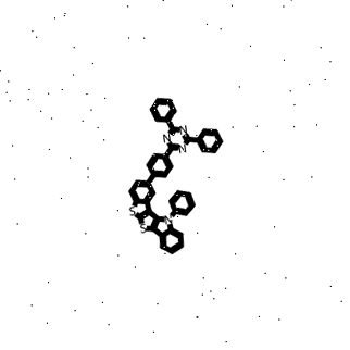 c1ccc(-c2nc(-c3ccccc3)nc(-c3ccc(-c4ccc5sc6sc7c8ccccc8n(-c8ccccc8)c7c6c5c4)cc3)n2)cc1